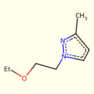 CCOCCn1ccc(C)n1